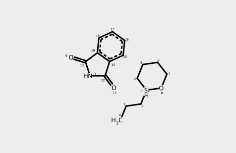 CCC[SiH]1CCCCO1.O=C1NC(=O)c2ccccc21